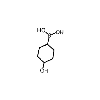 OB(O)C1CCC(O)CC1